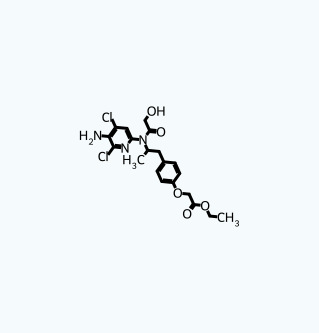 CCOC(=O)COc1ccc(CC(C)N(C(=O)CO)c2cc(Cl)c(N)c(Cl)n2)cc1